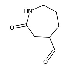 O=CC1CCCNC(=O)C1